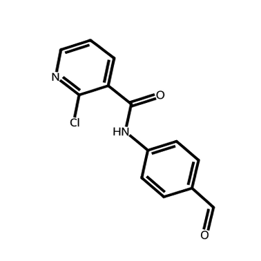 O=Cc1ccc(NC(=O)c2cccnc2Cl)cc1